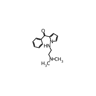 CN(C)CCNn1cccc1C(=O)c1ccccc1